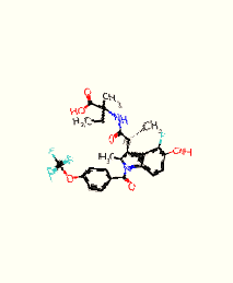 CCC(C)(NC(=O)[C@H](C)c1c(C)n(C(=O)c2ccc(OC(F)(F)F)cc2)c2ccc(O)c(F)c12)C(=O)O